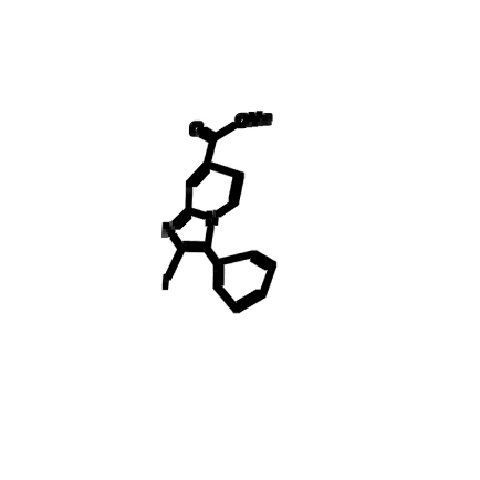 COC(=O)c1ccn2c(-c3ccccc3)c(I)nc2c1